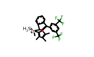 CC1=C(C)C(C)[C]([Zr]([CH3])([CH3])(=[SiH2])[CH]2C=C(c3cc(C(F)(F)F)cc(C(F)(F)F)c3)c3ccccc32)=C1C